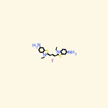 CCN1/C(=C/C=C/c2sc3cc(N)ccc3[n+]2CC)Sc2cc(N)ccc21.[I-]